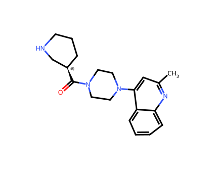 Cc1cc(N2CCN(C(=O)[C@@H]3CCCNC3)CC2)c2ccccc2n1